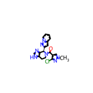 Cn1cc(C(=O)N2CCc3[nH]cnc3[C@H]2c2cc3ccccn3n2)c(Cl)n1